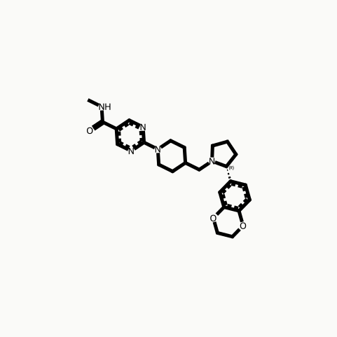 CNC(=O)c1cnc(N2CCC(CN3CCC[C@@H]3c3ccc4c(c3)OCCO4)CC2)nc1